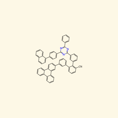 N#Cc1cccc(-c2cccc(-c3ccc4c5ccccc5c5ccccc5c4c3)c2)c1-c1cccc(-c2nc(-c3ccccc3)nc(-c3ccc(-c4cccc5ccccc45)cc3)n2)c1